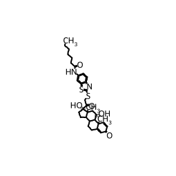 CCCCCCC(=O)Nc1ccc2nc(SCC(=O)[C@@]3(O)CCC4C5CCC6=CC(=O)C=CC6(C)C5[C@@H](O)CC43C)sc2c1